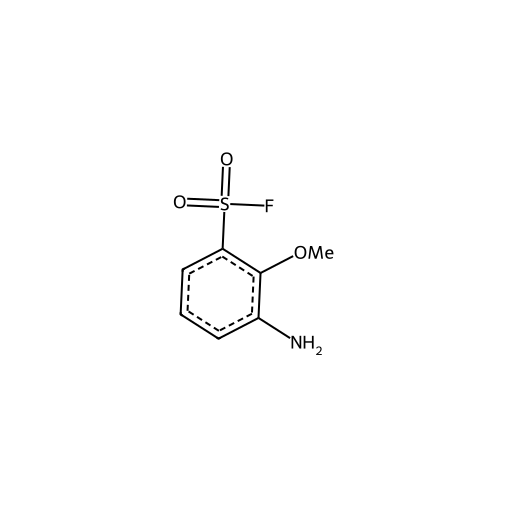 COc1c(N)cccc1S(=O)(=O)F